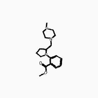 COC(=O)c1ccccc1N1CCCC1CN1CCN(C)CC1